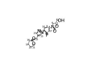 O=C1OC(CO)CN1c1ccc(-n2cc(CO[C@@H]3CCCCO3)cn2)c(F)c1